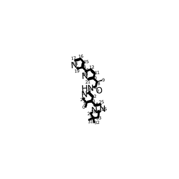 Cc1cnc(NC(=O)[C@H](C)c2ccc(-c3cccnc3)nc2)cc1-c1cnc2n1CC(C)(C)C2